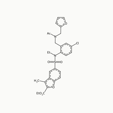 CCOC(=O)c1oc2ccc(S(=O)(=O)N(CC)c3ccc(Cl)cc3CN(Cc3ccco3)C(C)=O)cc2c1C